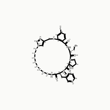 CC(C)C[C@H]1NC(=O)c2ccc(F)cc2OCc2cn(nn2)CCCCCCCCNC(=O)[C@H](Cc2cccnc2)N(C)C(=O)[C@H]2CCCN2C1=O